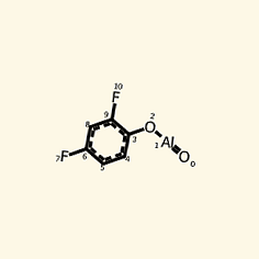 [O]=[Al][O]c1ccc(F)cc1F